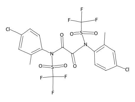 Cc1cc(Cl)ccc1N(C(=O)C(=O)N(c1ccc(Cl)cc1C)S(=O)(=O)C(F)(F)F)S(=O)(=O)C(F)(F)F